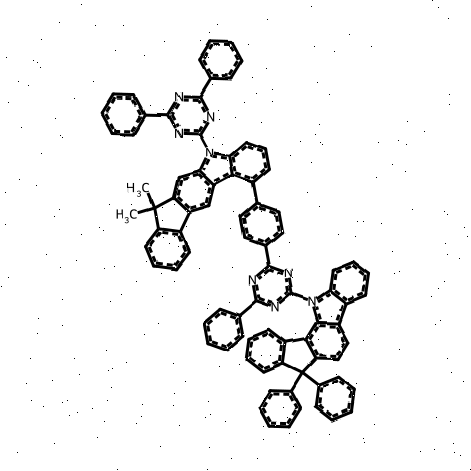 CC1(C)c2ccccc2-c2cc3c4c(-c5ccc(-c6nc(-c7ccccc7)nc(-n7c8ccccc8c8ccc9c(c87)-c7ccccc7C9(c7ccccc7)c7ccccc7)n6)cc5)cccc4n(-c4nc(-c5ccccc5)nc(-c5ccccc5)n4)c3cc21